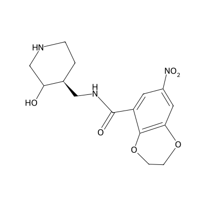 O=C(NC[C@@H]1CCNCC1O)c1cc([N+](=O)[O-])cc2c1OCCO2